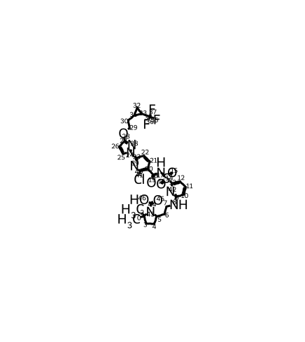 CC1(C)CCC(CCNc2cccc(S(=O)(=O)NC(=O)c3ccc(-n4ccc(OCCC5CC5C(F)(F)F)n4)nc3Cl)n2)N1C(=O)O